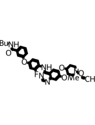 C=CON1CCC(Oc2cc3c(Nc4ccc(Oc5cccc(C(=O)NC(C)(C)C)c5)cc4F)ncnc3cc2OC)CC1